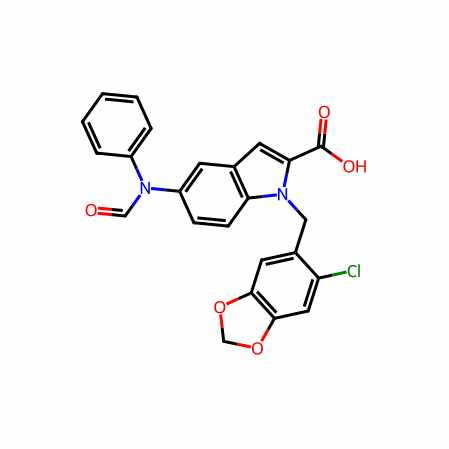 O=CN(c1ccccc1)c1ccc2c(c1)cc(C(=O)O)n2Cc1cc2c(cc1Cl)OCO2